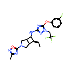 C/C=C1\C2CN(c3nc(C)no3)CC2C1Nc1nc(Oc2cccc(F)c2)n(CC(F)(F)F)n1